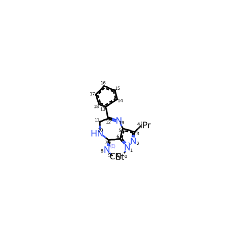 CCn1nc(C(C)C)c2c1/C(=N\C#N)NCC(c1ccccc1)=N2